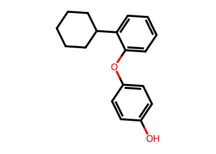 Oc1ccc(Oc2ccccc2C2CCCCC2)cc1